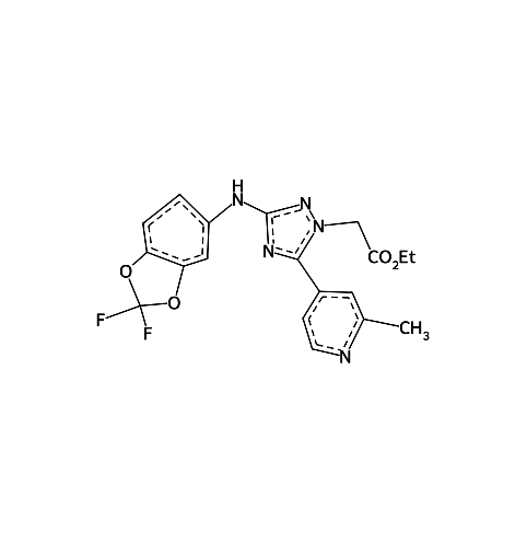 CCOC(=O)Cn1nc(Nc2ccc3c(c2)OC(F)(F)O3)nc1-c1ccnc(C)c1